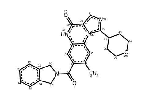 Cc1cc2c(cc1C(=O)N1Cc3ccccc3C1)[nH]c(=O)c1cnc(C3CCOCC3)n12